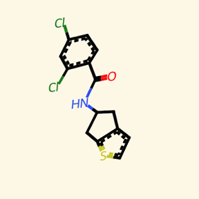 O=C(NC1Cc2ccsc2C1)c1ccc(Cl)cc1Cl